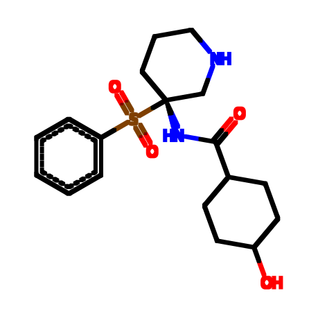 O=C(N[C@@]1(S(=O)(=O)c2ccccc2)CCCNC1)C1CCC(O)CC1